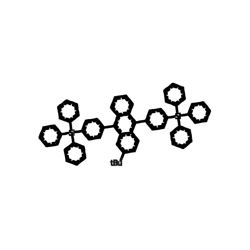 CC(C)(C)c1ccc2c(-c3ccc([Si](c4ccccc4)(c4ccccc4)c4ccccc4)cc3)c3ccccc3c(-c3ccc([Si](c4ccccc4)(c4ccccc4)c4ccccc4)cc3)c2c1